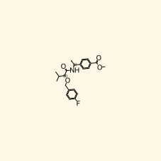 COC(=O)c1ccc([C@H](C)NC(=O)[C@H](OCc2ccc(F)cc2)C(C)C)cc1